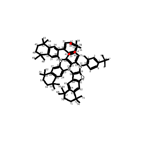 Cc1cc(C(C)(C)C)ccc1N1c2cc([Si](C)(C)C)cc3c2B(c2cc4c(cc2N3c2cc3c(cc2-c2ccccc2)C(C)(C)CCC3(C)C)C(C)(C)CCC4(C)C)c2c1oc1cc3c(cc21)C(C)(C)CCC3(C)C